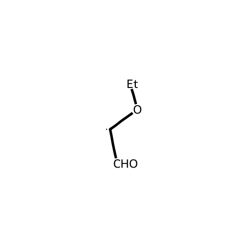 CCO[CH]C=O